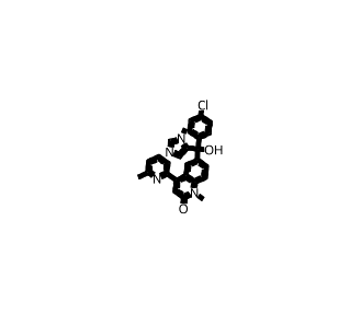 Cc1cccc(-c2cc(=O)n(C)c3ccc(C(O)(c4ccc(Cl)cc4)c4cncn4C)cc23)n1